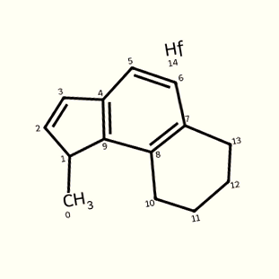 CC1C=Cc2ccc3c(c21)CCCC3.[Hf]